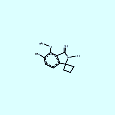 CCCOc1c(O)ccc2c1C(=N)N(O)C21CCC1